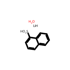 O.O=S(=O)(O)c1cccc2ccccc12.[LiH]